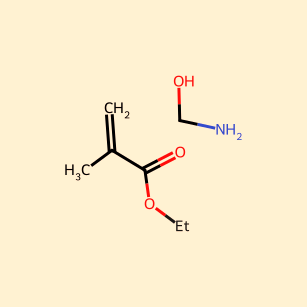 C=C(C)C(=O)OCC.NCO